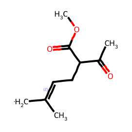 [CH2]/C(C)=C/CC(C(C)=O)C(=O)OC